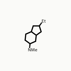 CCC1CC2CCC(NC)CC2C1